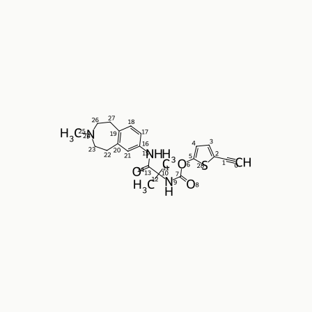 C#Cc1ccc(OC(=O)NC(C)(C)C(=O)Nc2ccc3c(c2)CCN(C)CC3)s1